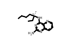 CCCC[C@](C)(CC)Nc1nc(N)nc2cccnc12